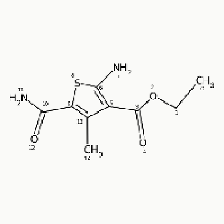 CCOC(=O)c1c(N)sc(C(N)=O)c1C